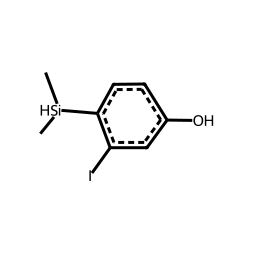 C[SiH](C)c1ccc(O)cc1I